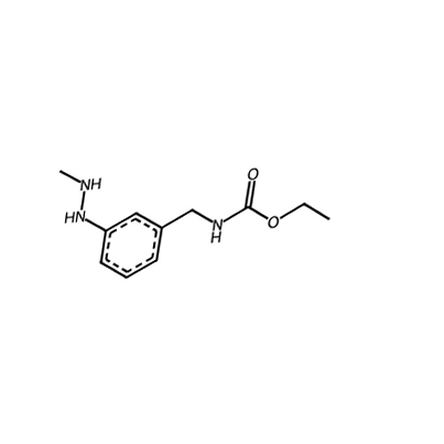 CCOC(=O)NCc1cccc(NNC)c1